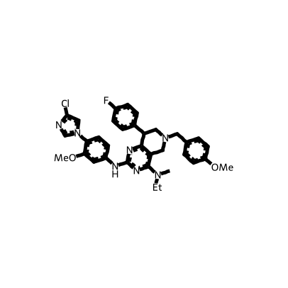 CCN(C)c1nc(Nc2ccc(-n3cnc(Cl)c3)c(OC)c2)nc2c1CN(Cc1ccc(OC)cc1)CC2c1ccc(F)cc1